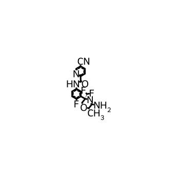 C[C@@H]1OC[C@](c2cc(NC(=O)c3ccc(C#N)cn3)ccc2F)(C(F)F)N=C1N